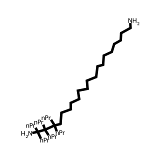 CCCC(N)(CCC)C(CCC)(CCC)C(CCC)(CCC)CCCCCCCCCCCCCCCCCN